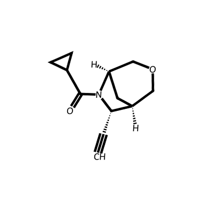 C#C[C@H]1[C@@H]2COC[C@@H](C2)N1C(=O)C1CC1